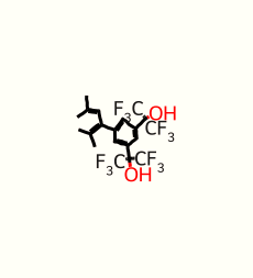 CC(C)=CC(=C(C)C)c1cc(C(O)(C(F)(F)F)C(F)(F)F)cc(C(O)(C(F)(F)F)C(F)(F)F)c1